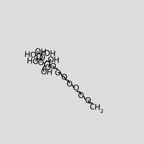 C=CCOCCOCCOCCOCCOCCOCCO[C@@H]1OC(CO)[C@@H](O[C@@H]2OC(CO)[C@H](O)C(O)C2O)CC1O